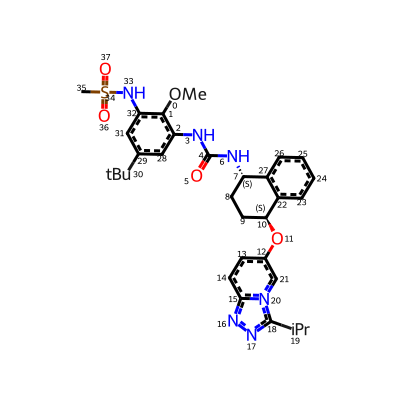 COc1c(NC(=O)N[C@H]2CC[C@H](Oc3ccc4nnc(C(C)C)n4c3)c3ccccc32)cc(C(C)(C)C)cc1NS(C)(=O)=O